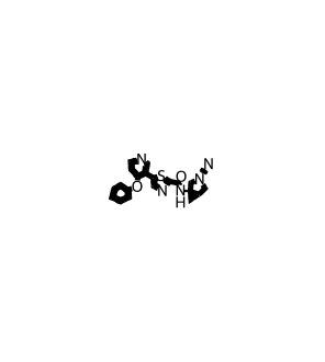 N#CN1CC2C[C@]2(NC(=O)c2ncc(-c3cnccc3Oc3ccccc3)s2)C1